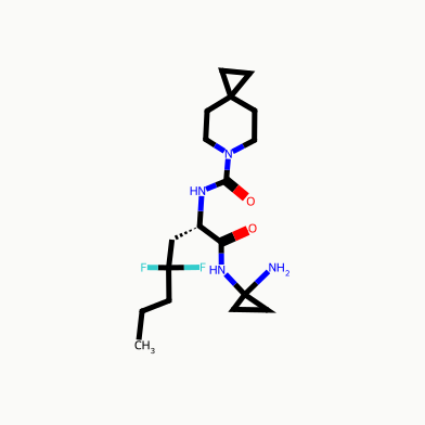 CCCC(F)(F)C[C@H](NC(=O)N1CCC2(CC1)CC2)C(=O)NC1(N)CC1